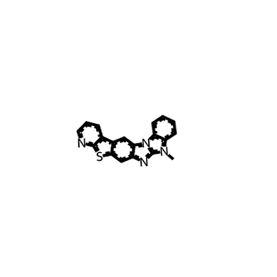 Cn1c2ccccc2n2c3cc4c(cc3nc12)sc1ncccc14